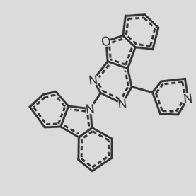 c1ccc2c(c1)oc1nc(-n3c4ccccc4c4ccccc43)nc(-c3ccncc3)c12